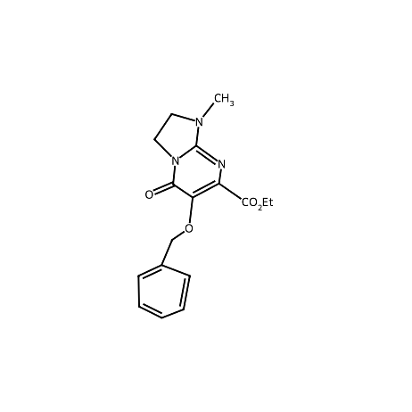 CCOC(=O)c1nc2n(c(=O)c1OCc1ccccc1)CCN2C